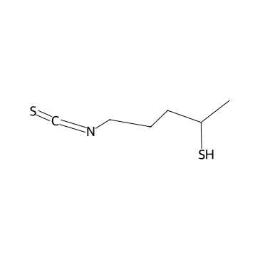 CC(S)CCCN=C=S